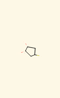 O[C@@H]1CC(S)C[C@@H]1O